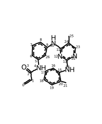 C=CC(=O)Nc1cccc(Nc2nc(Nc3ccccc3C)ncc2C)c1